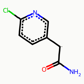 NC(=O)[CH]c1ccc(Cl)nc1